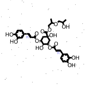 CC(O)COC(C)COC(=O)[C@]1(O)C[C@@H](OC(=O)/C=C/c2ccc(O)c(O)c2)[C@@H](O)[C@H](OC(=O)/C=C/c2ccc(O)c(O)c2)C1